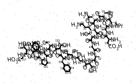 CC(C)C[C@H](NC(=O)[C@H](C)NC(=O)[C@@H](N)CC(=O)O)C(=O)N[C@@H](CC(C)C)C(=O)N[C@@H](CC(N)=O)C(=O)N[C@@H](CCCCN)C(=O)N[C@@H](CO)C(=O)NCC(=O)N[C@@H](C)C(=O)N[C@H](C(=O)NCC(=O)N[C@H](C(=O)N[C@@H](Cc1ccccc1)C(=O)N[C@H](C(=O)N[C@@H](CC(=O)O)C(=O)N[C@@H](Cc1ccccc1)C(=O)N1CCC[C@H]1C(=O)N[C@@H](CC(=O)O)C(=O)N[C@H](C(=O)NCC(=O)O)[C@@H](C)O)[C@@H](C)O)C(C)C)[C@@H](C)O